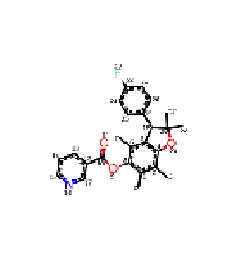 Cc1c(C)c2c(c(C)c1OC(=O)c1cccnc1)C(c1ccc(F)cc1)C(C)(C)O2